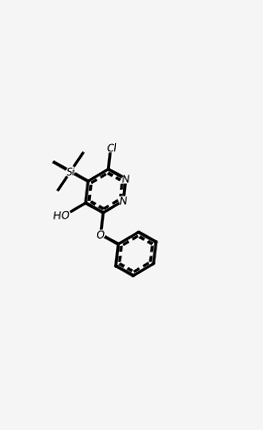 C[Si](C)(C)c1c(Cl)nnc(Oc2ccccc2)c1O